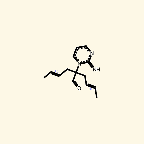 C/C=C/CC(C=O)(C/C=C/C)n1cccnc1=N